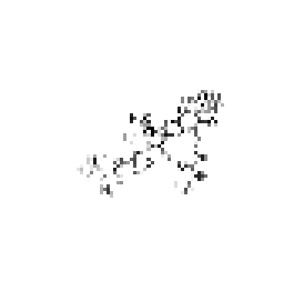 CNC(=O)NCCN1C(=O)C(NC)(NC)Oc2cc(NC)c(C(=O)N(C(C)C)C3CCCN(OC(=O)C(C)(C)C)C3)cc21